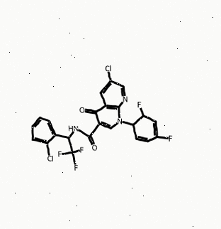 O=C(NC(c1ccccc1Cl)C(F)(F)F)c1cn(C2C=CC(F)=CC2F)c2ncc(Cl)cc2c1=O